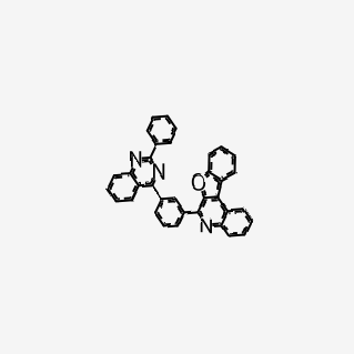 c1ccc(-c2nc(-c3cccc(-c4nc5ccccc5c5c4oc4ccccc45)c3)c3ccccc3n2)cc1